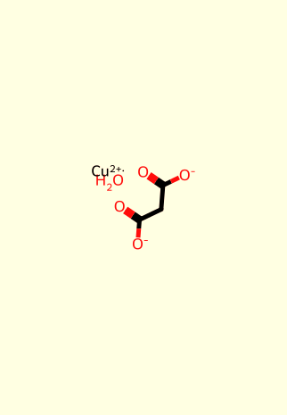 O.O=C([O-])CC(=O)[O-].[Cu+2]